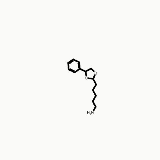 NCCCCCC1OCC(c2ccccc2)O1